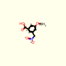 BOc1cc(C[N+](=O)[O-])cc(C(=O)O)c1